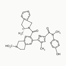 Cc1sc(C(=O)N(C)c2ccc(O)cc2)nc1-c1cc2c(cc1C(=O)N1Cc3ccccc3C[C@H]1C)CN(C(=O)O)CC2